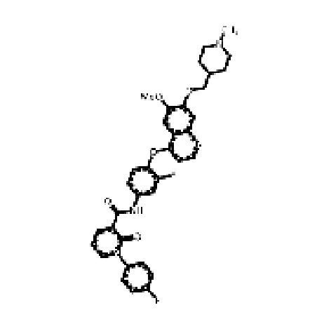 COc1cc2c(Oc3ccc(NC(=O)c4cccn(-c5ccc(F)cc5)c4=O)cc3F)ccnc2cc1OCC1CCN(C)CC1